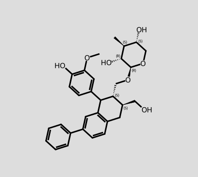 COc1cc(C2c3cc(-c4ccccc4)ccc3C[C@H](CO)[C@H]2CO[C@@H]2OC[C@@H](O)[C@H](C)[C@H]2O)ccc1O